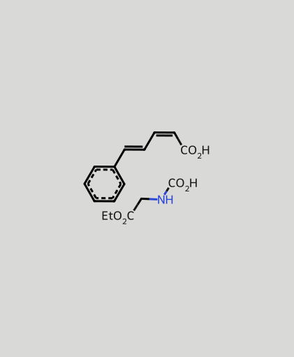 CCOC(=O)CNC(=O)O.O=C(O)/C=C\C=C\c1ccccc1